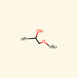 [CH2]CCC(O)COCCCC